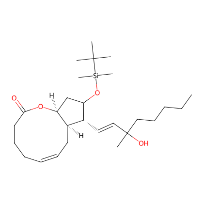 CCCCCC(C)(O)/C=C/[C@H]1C(O[Si](C)(C)C(C)(C)C)C[C@@H]2OC(=O)CCC/C=C\C[C@@H]21